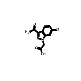 NC(=O)c1nn(CC(=O)O)c2cc(Cl)ccc12